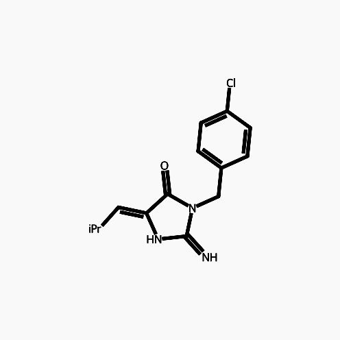 CC(C)/C=C1\NC(=N)N(Cc2ccc(Cl)cc2)C1=O